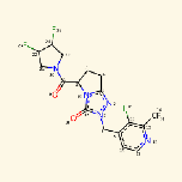 O=C(C1CCc2nn(Cc3ccnc(C(F)(F)F)c3F)c(=O)n21)N1CC(F)C(F)C1